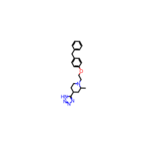 CC1CC(c2nnn[nH]2)CCN1CCOc1ccc(Cc2ccccc2)cc1